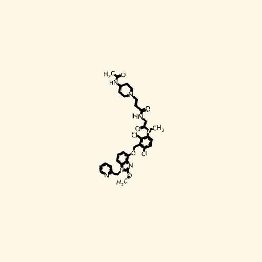 COc1nc2c(OCc3c(Cl)ccc(N(C)C(=O)CNC(=O)CCN4CCC(NC(C)=O)CC4)c3Cl)cccc2n1Cc1ccccn1